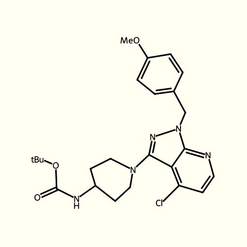 COc1ccc(Cn2nc(N3CCC(NC(=O)OC(C)(C)C)CC3)c3c(Cl)ccnc32)cc1